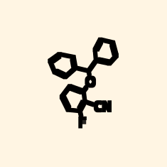 N#Cc1c(F)cccc1OC(c1ccccc1)c1ccccc1